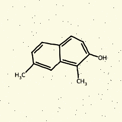 Cc1ccc2ccc(O)c(C)c2c1